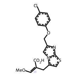 CO/C=C(/Cc1csc2nc(COc3ccc(Cl)cc3)cn12)C(=O)O